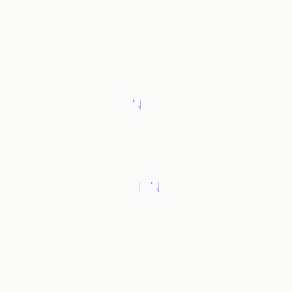 c1ccc(NCCN(c2ccccc2)c2ccccc2)cc1